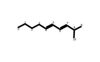 CCCCC=CC=CC(C)C